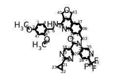 COc1ccc(CNc2nc3cc(CN(C(=O)c4cnc(C5CC5)nc4)c4ccc(C(F)(F)F)nc4)ccc3c3c2COC3)c(OC)c1